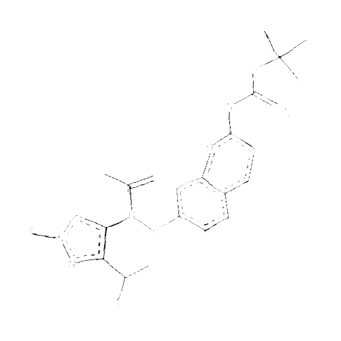 CC(=O)N(Cc1ccc2ccc(NC(=O)OC(C)(C)C)nc2c1)c1cn(C)nc1C(C)O